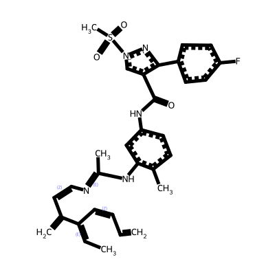 C=C/C=C\C(=C/C)C(=C)/C=C\N=C(/C)Nc1cc(NC(=O)c2cn(S(C)(=O)=O)nc2-c2ccc(F)cc2)ccc1C